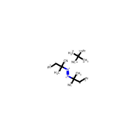 CC(C)CC(C)(C#N)/N=N/C(C)(C#N)CC(C)C.CCCC(C)(C)C#N